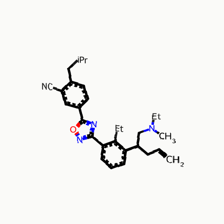 C=CCC(CN(C)CC)c1cccc(-c2noc(-c3ccc(CC(C)C)c(C#N)c3)n2)c1CC